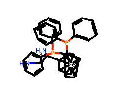 NCC(N)[C]12[CH]3[CH]4[CH]5[C]1(P(c1ccccc1)c1ccccc1)[Fe]43521678[CH]2[CH]1[CH]6[C]7(P(c1ccccc1)c1ccccc1)[CH]28